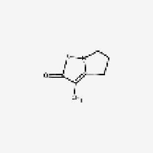 Cc1c2n(sc1=O)CCC2